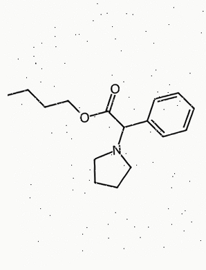 CCCCOC(=O)C(c1ccccc1)N1CCCC1